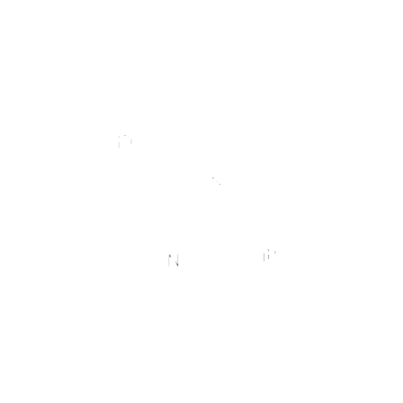 CCc1cnc(C(C)C)s1